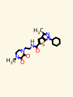 Cc1nn(C2CCCCC2)c2sc(C(=O)NCCN3CCN(C)C(=O)C3=O)cc12